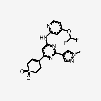 Cn1cc(-c2nc(Nc3cc(OC(F)F)ccn3)cc(C3=CCS(=O)(=O)CC3)n2)cn1